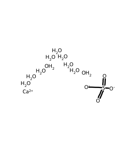 O.O.O.O.O.O.O.O.O.O.O=S(=O)([O-])[O-].[Ca+2]